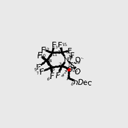 CCCCCCCCCCCCC1(F)C(F)(F)C(F)(F)C(F)(F)C(F)(F)[N+]1(F)S(=O)(=O)[O-]